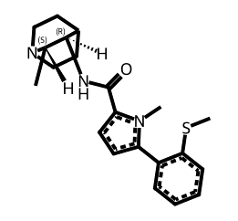 CSc1ccccc1-c1ccc(C(=O)N[C@@H]2C3CCN(CC3)[C@H]2C)n1C